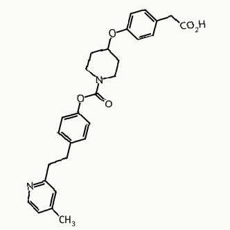 Cc1ccnc(CCc2ccc(OC(=O)N3CCC(Oc4ccc(CC(=O)O)cc4)CC3)cc2)c1